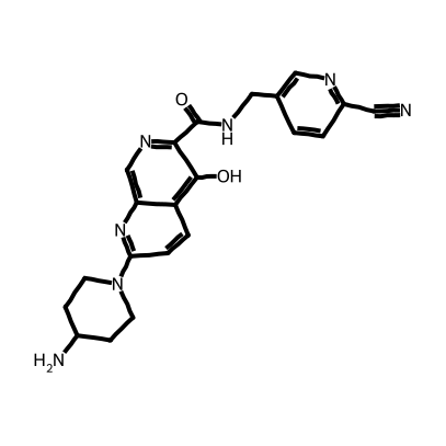 N#Cc1ccc(CNC(=O)c2ncc3nc(N4CCC(N)CC4)ccc3c2O)cn1